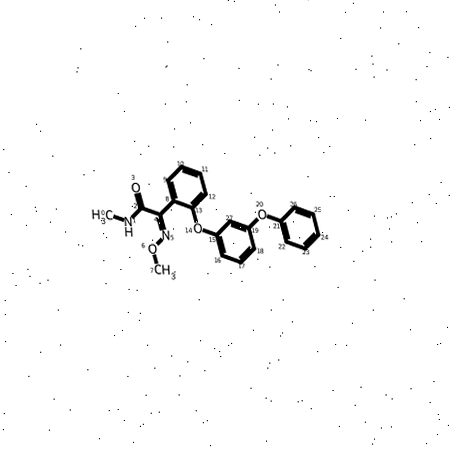 CNC(=O)C(=NOC)c1ccccc1Oc1cccc(Oc2ccccc2)c1